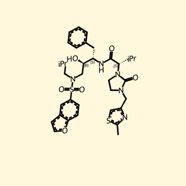 Cc1nc(CN2CCN([C@H](C(=O)N[C@@H](Cc3ccccc3)[C@H](O)CN(CC(C)C)S(=O)(=O)c3ccc4occc4c3)C(C)C)C2=O)cs1